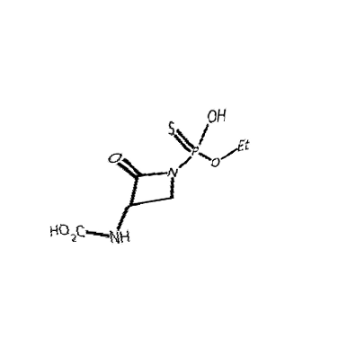 CCOP(O)(=S)N1CC(NC(=O)O)C1=O